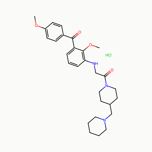 COc1ccc(C(=O)c2cccc(NCC(=O)N3CCC(CN4CCCCC4)CC3)c2OC)cc1.Cl